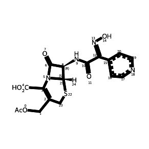 CC(=O)OCC1=C(C(=O)O)N2C(=O)[C@@H](NC(=O)C(=NO)c3ccncc3)[C@@H]2SC1